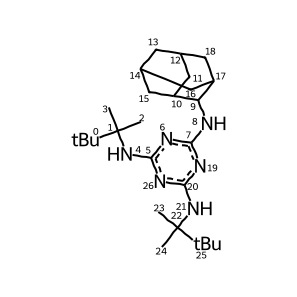 CC(C)(C)C(C)(C)Nc1nc(NC2C3CC4CC(C3)CC2C4)nc(NC(C)(C)C(C)(C)C)n1